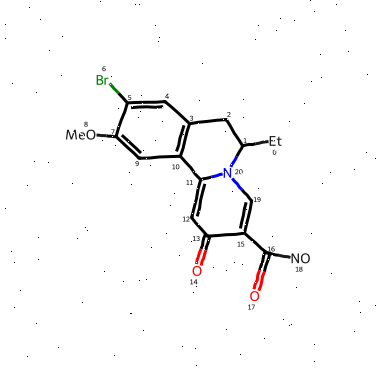 CCC1Cc2cc(Br)c(OC)cc2-c2cc(=O)c(C(=O)N=O)cn21